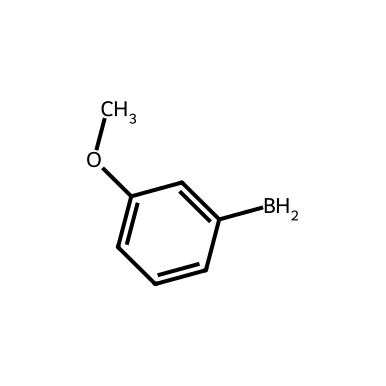 Bc1cccc(OC)c1